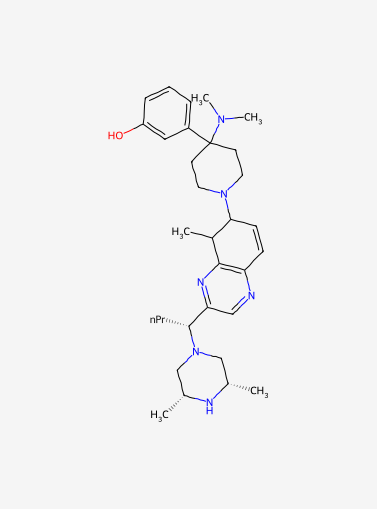 CCC[C@H](c1cnc2c(n1)C(C)C(N1CCC(c3cccc(O)c3)(N(C)C)CC1)C=C2)N1C[C@@H](C)N[C@@H](C)C1